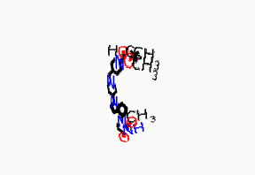 Cc1ccc2c(ccn2C2CCN(CC3CCN(C(=O)OC(C)(C)C)CC3)CC2)c1N1CCC(=O)NC1=O